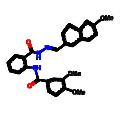 COc1ccc2cc(C=NNC(=O)c3ccccc3NC(=O)c3ccc(OC)c(OC)c3)ccc2c1